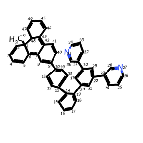 CC12C=CC=CC1=c1cc(-c3ccc(-c4ccccc4-c4cc(-c5cccnc5)cc(-c5cccnc5)c4)cc3)ccc1=C1C=CC=CC12